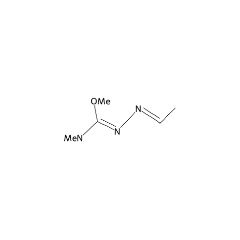 C/C=N/N=C(/NC)OC